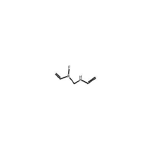 C=CNCN(F)C=C